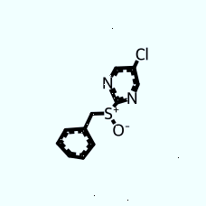 [O-][S+](Cc1ccccc1)c1ncc(Cl)cn1